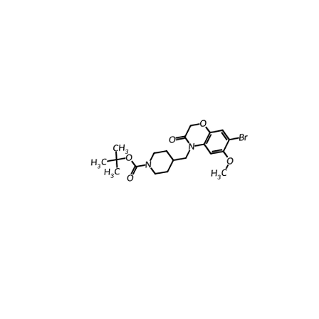 COc1cc2c(cc1Br)OCC(=O)N2CC1CCN(C(=O)OC(C)(C)C)CC1